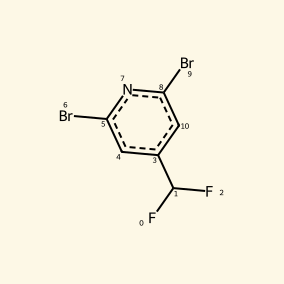 FC(F)c1cc(Br)nc(Br)c1